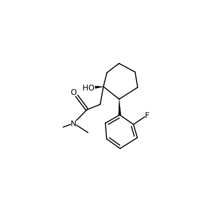 CN(C)C(=O)C[C@]1(O)CCCC[C@H]1c1ccccc1F